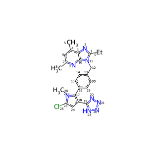 CCc1nc2c(C)cc(C)nc2n1Cc1ccc(-c2c(-c3nnn[nH]3)cc(Cl)n2C)cc1